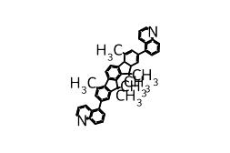 CC1=CC(c2cccc3ncccc23)=CC2C1c1ccc3c(c1C2(C)C)C(C)(C)c1cc(-c2cccc4ncccc24)cc(C)c1-3